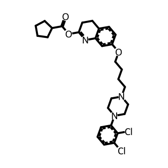 O=C(OC1=Nc2cc(OCCCCN3CCN(c4cccc(Cl)c4Cl)CC3)ccc2CC1)C1CCCC1